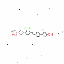 CCCC(O)C1CCC(c2ccc(/C=C/c3ccc(-c4ccc(O)cc4F)cc3)c(F)c2F)CC1